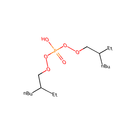 CCCCC(CC)COOP(=O)(O)OOCC(CC)CCCC